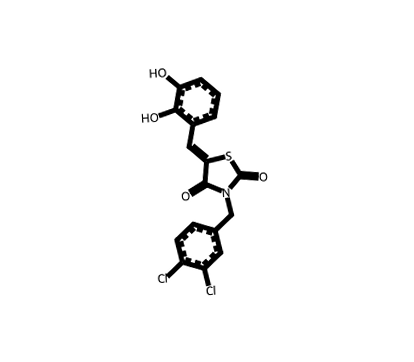 O=C1S/C(=C\c2cccc(O)c2O)C(=O)N1Cc1ccc(Cl)c(Cl)c1